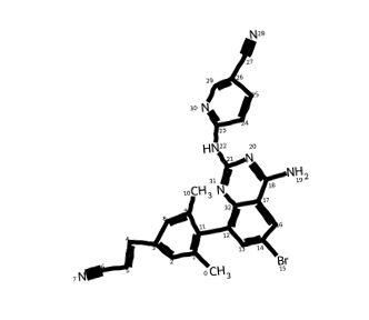 Cc1cc(/C=C/C#N)cc(C)c1-c1cc(Br)cc2c(N)nc(Nc3ccc(C#N)cn3)nc12